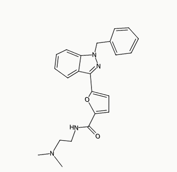 CN(C)CCNC(=O)c1ccc(-c2nn(Cc3ccccc3)c3ccccc23)o1